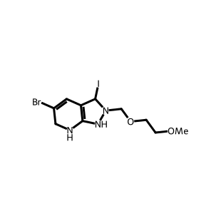 COCCOCN1NC2=C(C=C(Br)CN2)C1I